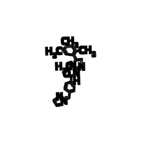 Cc1cc(C)c(-c2cnc(NC(=O)c3ccc(Cn4cccn4)cc3)n2C)cc1C